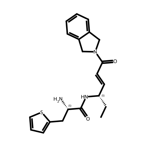 CC[C@@H](C=CC(=O)N1Cc2ccccc2C1)NC(=O)[C@@H](N)Cc1cccs1